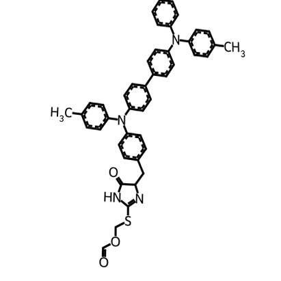 Cc1ccc(N(c2ccccc2)c2ccc(-c3ccc(N(c4ccc(C)cc4)c4ccc(CC5N=C(SCOC=O)NC5=O)cc4)cc3)cc2)cc1